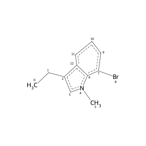 CCc1cn(C)c2c(Br)cccc12